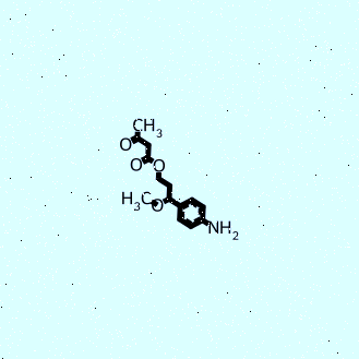 COC(CCOC(=O)CC(C)=O)c1ccc(N)cc1